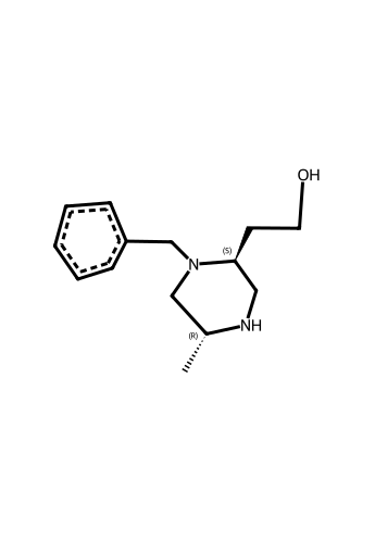 C[C@@H]1CN(Cc2ccccc2)[C@@H](CCO)CN1